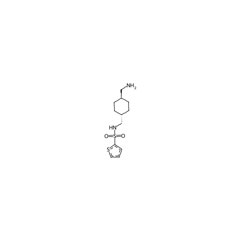 NC[C@H]1CC[C@H](CNS(=O)(=O)c2cccs2)CC1